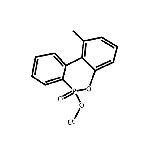 CCOP1(=O)Oc2cccc(C)c2-c2ccccc21